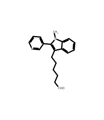 Cn1c(-c2cccnc2)c(CCCCCC=O)c2ccccc21